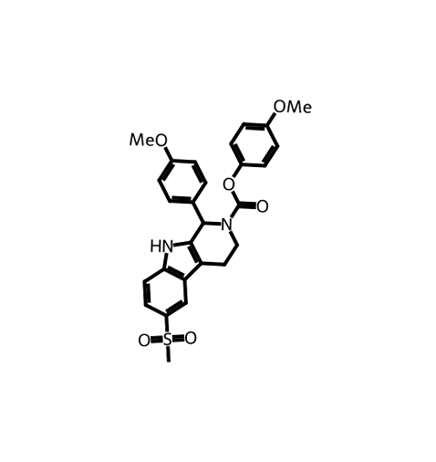 COc1ccc(OC(=O)N2CCc3c([nH]c4ccc(S(C)(=O)=O)cc34)C2c2ccc(OC)cc2)cc1